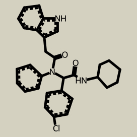 O=C(NC1CCCCC1)C(c1ccc(Cl)cc1)N(C(=O)Cc1c[nH]c2ccccc12)c1ccccc1